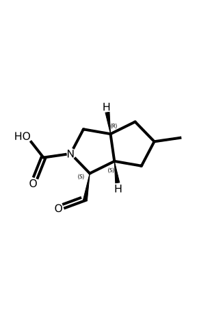 CC1C[C@H]2CN(C(=O)O)[C@H](C=O)[C@H]2C1